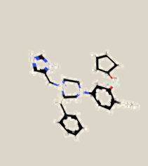 COc1ccc(N2CCN(Cc3cnc[nH]3)[C@@H](Cc3ccccc3)C2)cc1OC1CCCC1